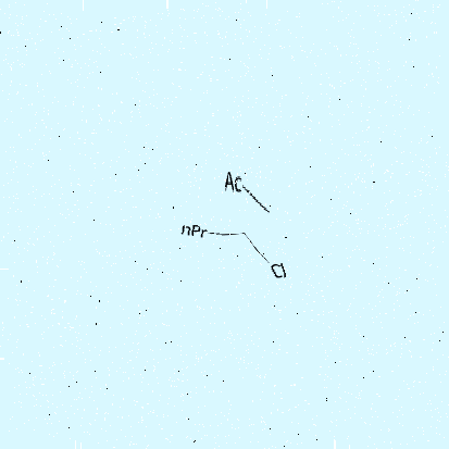 CC(C)=O.CCCCCl